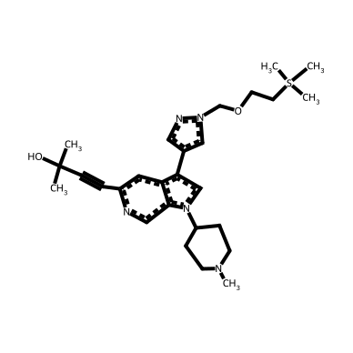 CN1CCC(n2cc(-c3cnn(COCCS(C)(C)C)c3)c3cc(C#CC(C)(C)O)ncc32)CC1